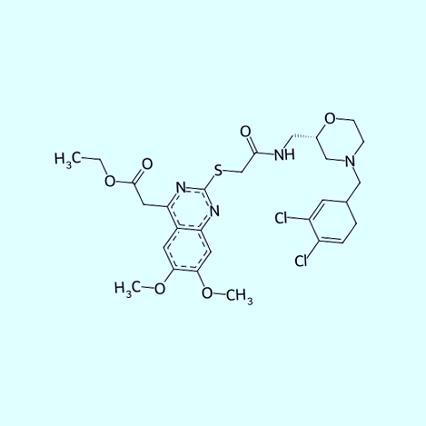 CCOC(=O)Cc1nc(SCC(=O)NC[C@H]2CN(CC3C=C(Cl)C(Cl)=CC3)CCO2)nc2cc(OC)c(OC)cc12